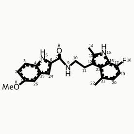 COc1ccc2[nH]c(C(=O)NCCc3c(C)[nH]c4c(F)ccc(C)c34)cc2c1